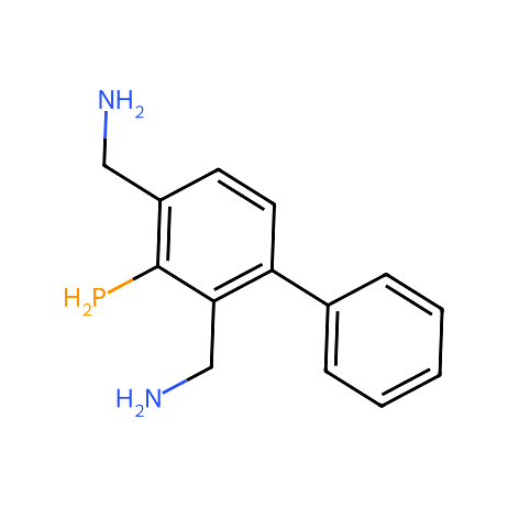 NCc1ccc(-c2ccccc2)c(CN)c1P